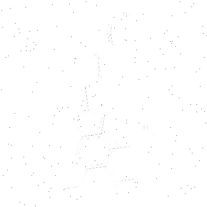 COc1cc2sc(C=NNC=NN)cc2c(Cl)c1OC.Cl